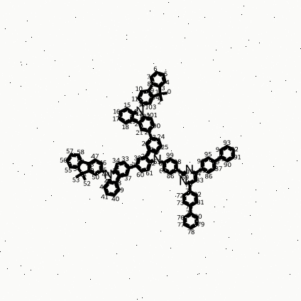 CC1(C)c2ccccc2-c2ccc(-n3c4ccccc4c4cc(-c5ccc6c(c5)c5cc(-c7ccc8c(c7)c7ccccc7n8-c7ccc8c(c7)C(C)(C)c7ccccc7-8)ccc5n6-c5ccc(-c6nc(-c7ccc(-c8ccccc8)cc7)cc(-c7ccc(-c8ccccc8)cc7)n6)cc5)ccc43)cc21